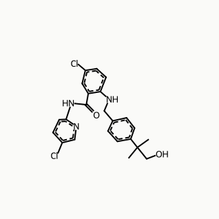 CC(C)(CO)c1ccc(CNc2ccc(Cl)cc2C(=O)Nc2ccc(Cl)cn2)cc1